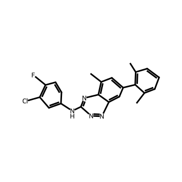 Cc1cccc(C)c1-c1cc(C)c2nc(Nc3ccc(F)c(Cl)c3)nnc2c1